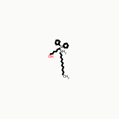 CCCCCCCCCCCC[SiH2]C(CCCCCO)[SiH](c1ccccc1)c1ccccc1